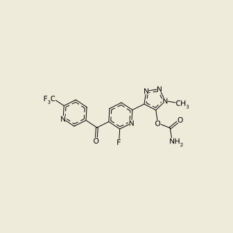 Cn1nnc(-c2ccc(C(=O)c3ccc(C(F)(F)F)nc3)c(F)n2)c1OC(N)=O